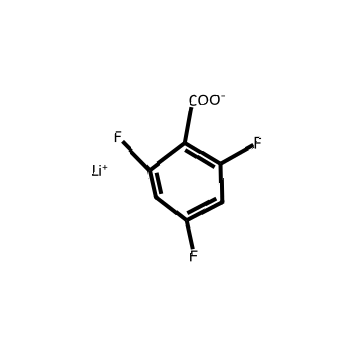 O=C([O-])c1c(F)cc(F)cc1F.[Li+]